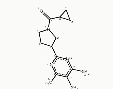 Cc1nc(C2CCN(C(=O)C3CC3)C2)nc(N)c1N